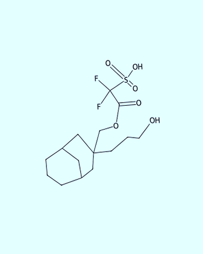 O=C(OCC1(CCCO)CC2CCCC(C2)C1)C(F)(F)S(=O)(=O)O